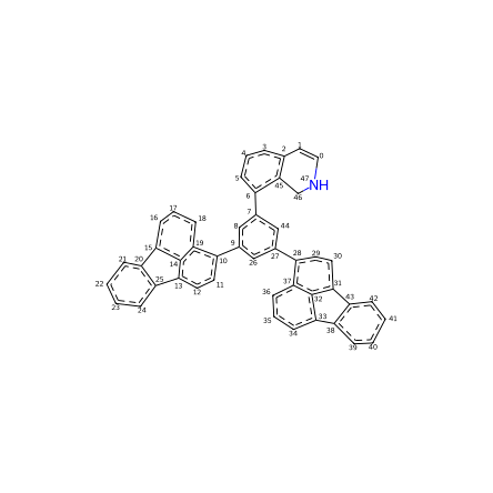 C1=Cc2cccc(-c3cc(-c4ccc5c6c(cccc46)-c4ccccc4-5)cc(-c4ccc5c6c(cccc46)-c4ccccc4-5)c3)c2CN1